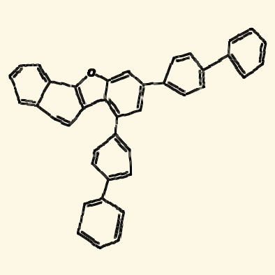 c1ccc(-c2ccc(-c3cc(-c4ccc(-c5ccccc5)cc4)c4c(c3)oc3c5ccccc5ccc34)cc2)cc1